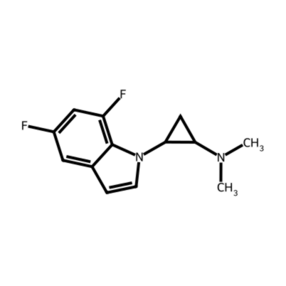 CN(C)C1CC1n1ccc2cc(F)cc(F)c21